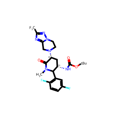 CN1C(=O)[C@H](N2CCn3nc(C(F)(F)F)nc3C2)C[C@H](NC(=O)OC(C)(C)C)C1c1cc(F)ccc1F